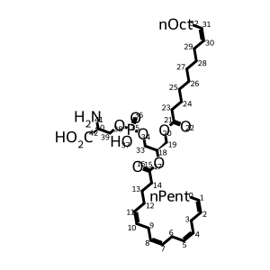 CCCCC/C=C\C/C=C\C/C=C\C/C=C\CCCC(=O)O[C@H](COC(=O)CCCCCCC/C=C\CCCCCCCC)COP(=O)(O)OC[C@H](N)C(=O)O